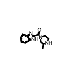 CC1CN(C(=O)c2nc3ccccc3[nH]2)CCN1